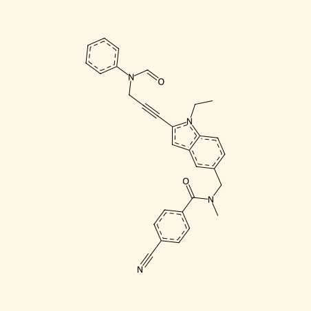 CCn1c(C#CCN(C=O)c2ccccc2)cc2cc(CN(C)C(=O)c3ccc(C#N)cc3)ccc21